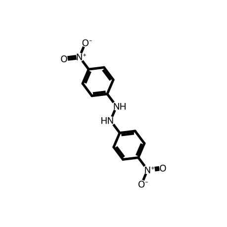 O=[N+]([O-])c1ccc(NNc2ccc([N+](=O)[O-])cc2)cc1